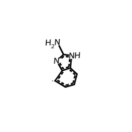 Nc1nc2[c]cccc2[nH]1